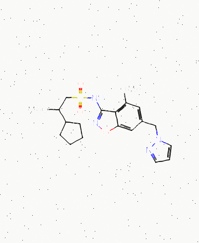 COc1cc(Cn2cccn2)cc2onc(NS(=O)(=O)CC(OC)C3CCCC3)c12